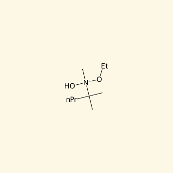 CCCC(C)(C)[N+](C)(O)OCC